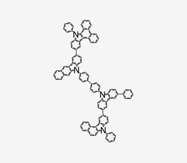 c1ccc(-c2ccc3c(c2)c2cc(-c4ccc5c(c4)c4c6ccccc6ccc4n5-c4ccccc4)ccc2n3-c2ccc(-c3ccc(-n4c5ccc(-c6ccc7c(c6)c6c8ccccc8c8ccccc8c6n7-c6ccccc6)cc5c5cc6ccccc6cc54)cc3)cc2)cc1